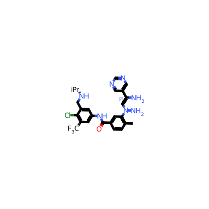 Cc1ccc(C(=O)Nc2cc(CNC(C)C)c(Cl)c(C(F)(F)F)c2)cc1N(N)/C=C(\N)c1cncnc1